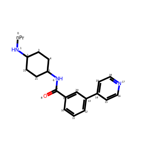 CCCNC1CCC(NC(=O)c2cccc(-c3ccncc3)c2)CC1